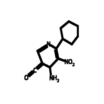 NC1C(=C=O)C=NC(C2CCCCC2)=C1[N+](=O)[O-]